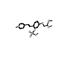 COC(COc1ccc(C=Cc2cc[n+](C)cc2)cc1)OC.COS(=O)(=O)[O-]